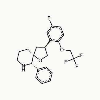 Fc1ccc(OCC(F)(F)F)c([C@H]2CO[C@]3(CCCN[C@H]3c3ccccc3)C2)c1